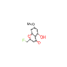 COc1cc(O)c2c(=O)cc(CF)oc2c1